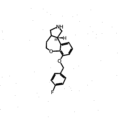 Fc1ccc(COc2cccc3c2OCCC2CNC[C@H]32)cc1